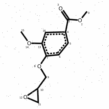 COC(=O)c1ccc(OCC2CO2)c(OC)c1